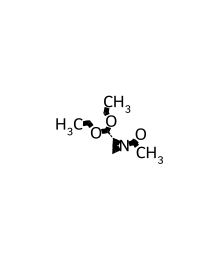 CCOC(OCC)[C@H]1CN1C(C)=O